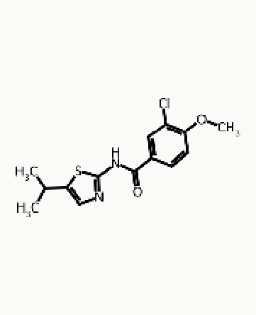 COc1ccc(C(=O)Nc2ncc(C(C)C)s2)cc1Cl